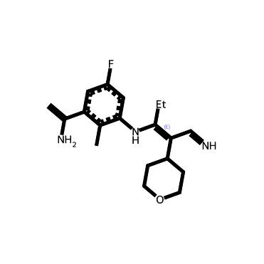 C=C(N)c1cc(F)cc(N/C(CC)=C(/C=N)C2CCOCC2)c1C